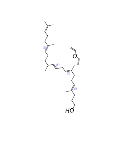 C=COC=C.CC(C)=CCC/C(C)=C/CCC(C)/C=C/C/C=C(\C)CC/C=C(\C)CCCO